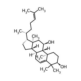 CC(C)=CCC[C@@H](C)[C@H]1CC[C@H]2[C@@H]3CC=C4C(C)(C)[C@H](O)CC[C@]4(C)[C@H]3[C@H](O)C[C@]12C